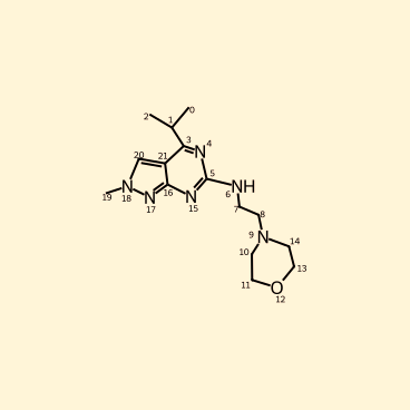 CC(C)c1nc(NCCN2CCOCC2)nc2nn(C)cc12